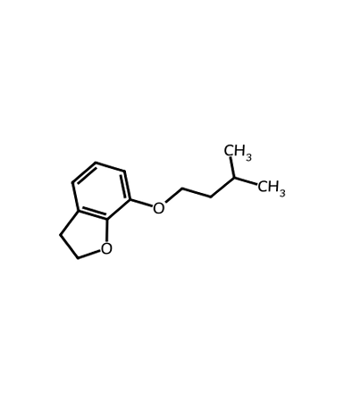 CC(C)CCOc1cccc2c1OCC2